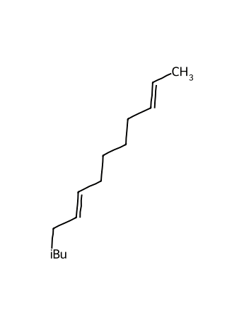 CC=CCCCCC=CCC(C)CC